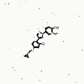 CCCN1C=C(n2cc(-c3ccc(OCC4CC4)cc3Cl)cn2)C=CC1O